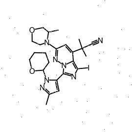 Cc1cc(-c2nc(I)c3c(C(C)(C)C#N)cc(N4CCOCC4C)nn23)n(C2CCCCO2)n1